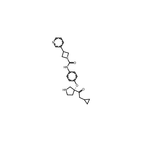 O=C(Nc1ccc(O[C@]2(C(=O)CC3CC3)CCNC2)cc1)N1CC(c2cccnc2)C1